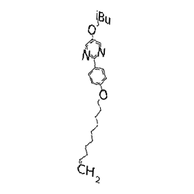 C=CCCCCCCCCOc1ccc(-c2ncc(OCC(C)CC)cn2)cc1